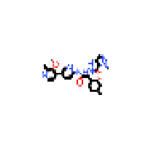 COc1c(-c2ccc(NC(=O)[C@@H](NC(=O)c3ccnn3C)C3CCC(C)CC3)nc2)ccnc1C